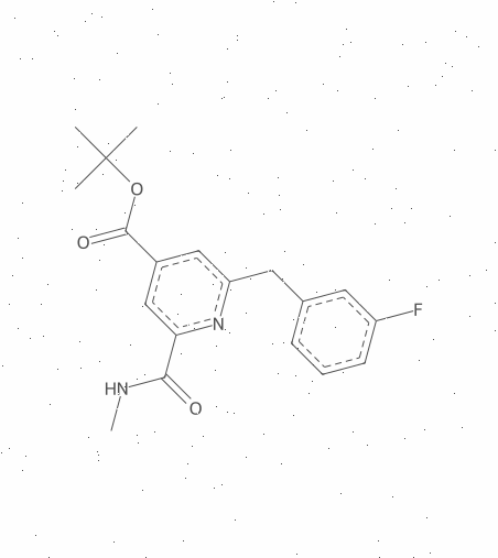 CNC(=O)c1cc(C(=O)OC(C)(C)C)cc(Cc2cccc(F)c2)n1